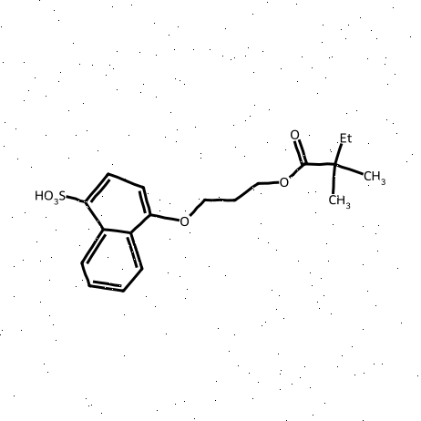 CCC(C)(C)C(=O)OCCCOc1ccc(S(=O)(=O)O)c2ccccc12